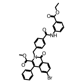 CCOC(=O)c1cccc(NC(=O)c2ccc(Cn3c(C(=O)OC)c(-c4ccccc4)c4cc(Br)ccc4c3=O)cc2)c1